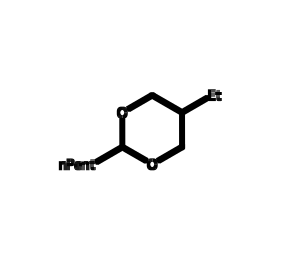 CCCCCC1OCC(CC)CO1